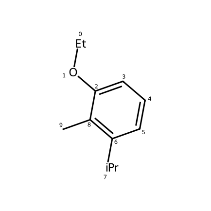 CCOc1cccc(C(C)C)c1C